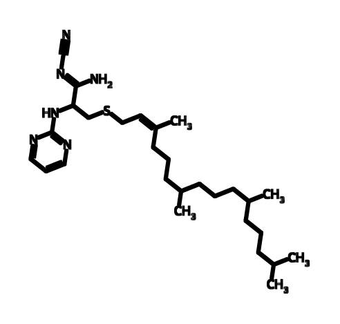 CC(=CCSCC(Nc1ncccn1)C(N)=NC#N)CCCC(C)CCCC(C)CCCC(C)C